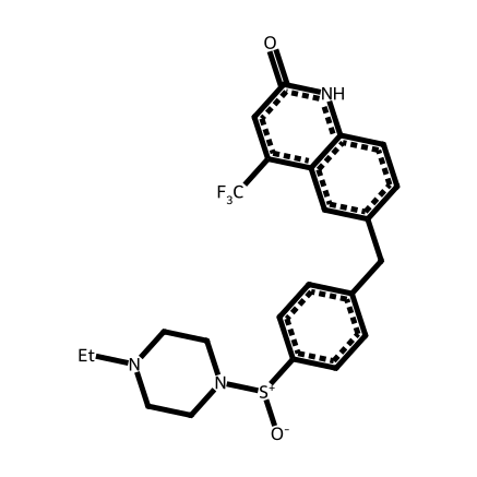 CCN1CCN([S+]([O-])c2ccc(Cc3ccc4[nH]c(=O)cc(C(F)(F)F)c4c3)cc2)CC1